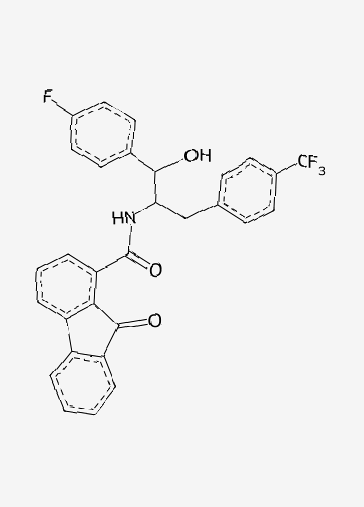 O=C(NC(Cc1ccc(C(F)(F)F)cc1)C(O)c1ccc(F)cc1)c1cccc2c1C(=O)c1ccccc1-2